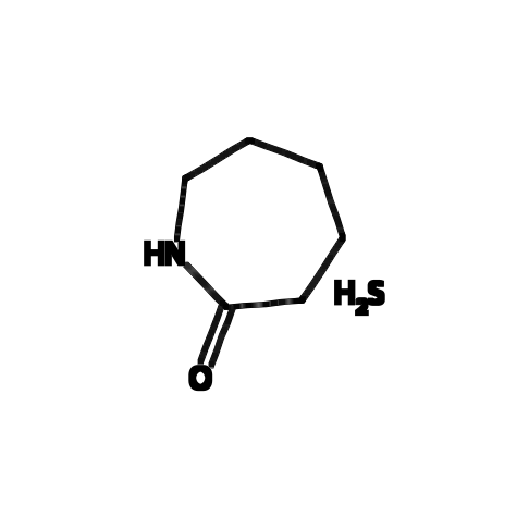 O=C1CCCCCN1.S